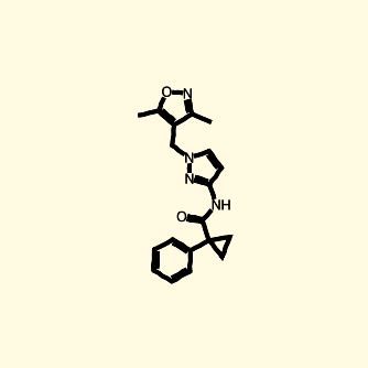 Cc1noc(C)c1Cn1ccc(NC(=O)C2(c3ccccc3)CC2)n1